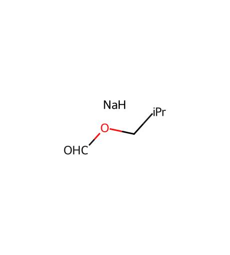 CC(C)COC=O.[NaH]